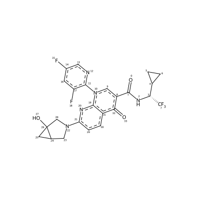 O=C(N[C@H](C1CC1)C(F)(F)F)c1cn(-c2ncc(F)cc2F)c2nc(N3CC4CC4(O)C3)ccc2c1=O